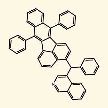 c1ccc(-c2c3c(c(-c4ccccc4)c4ccccc24)-c2ccc(C(c4ccccc4)c4cncc5ccccc45)c4cccc-3c24)cc1